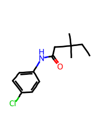 CCC(C)(C)CC(=O)Nc1ccc(Cl)cc1